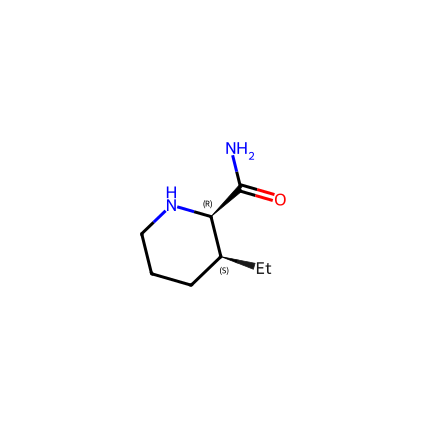 CC[C@H]1CCCN[C@H]1C(N)=O